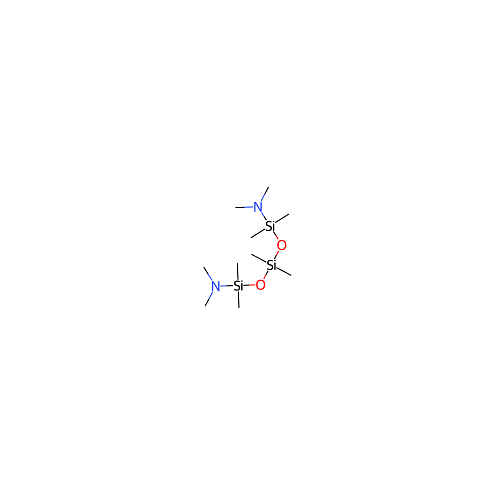 CN(C)[Si](C)(C)O[Si](C)(C)O[Si](C)(C)N(C)C